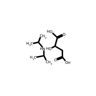 CC(C)NC(C)C.O=C(O)CC(O)C(=O)O